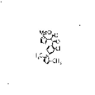 COC(=O)C(C(=O)c1ccc(-n2c(C)ccc2C)cc1Cl)c1cccs1